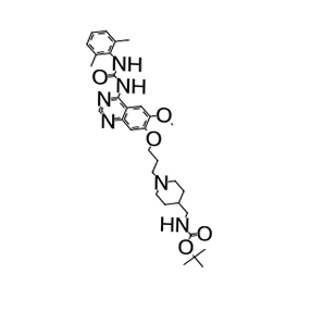 COc1cc2c(NC(=O)Nc3c(C)cccc3C)ncnc2cc1OCCCN1CCC(CNC(=O)OC(C)(C)C)CC1